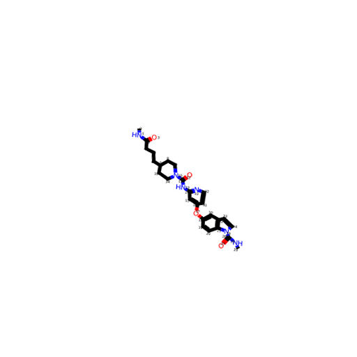 CNC(=O)CCCC1CCN(C(=O)Nc2cc(Oc3ccc4c(ccn4C(=O)NC)c3)ccn2)CC1